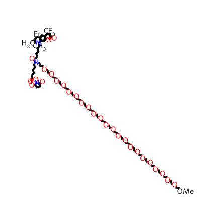 CCC1=CC(C)(C)N(CCCCCC(=O)N(CCCCCC(=O)ON2C(=O)CCC2=O)CCCOCCOCCOCCOCCOCCOCCOCCOCCOCCOCCOCCOCCOCCOCCOCCOCCOCCOCCOCCOCCOCCOCCOC)c2cc3oc(=O)cc(C(F)(F)F)c3cc21